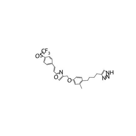 Cc1cc(OCc2coc(C=Cc3ccc([S+]([O-])C(F)(F)F)cc3)n2)ccc1CCCCc1c[nH]nn1